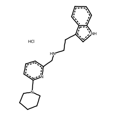 Cl.c1cc(CNCCc2c[nH]c3ccccc23)nc(N2CCCCC2)c1